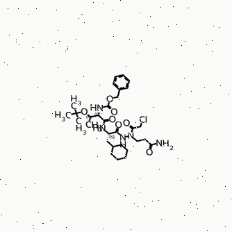 C[C@@H](OC(C)(C)C)[C@H](NC(=O)OCc1ccccc1)C(=O)N[C@@H](CC1CCCCC1)C(=O)NN(CCC(N)=O)C(=O)CCl